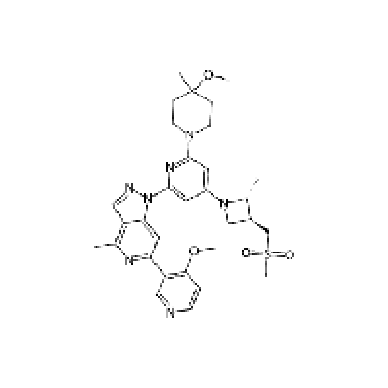 COc1ccncc1-c1cc2c(cnn2-c2cc(N3C[C@H](CS(C)(=O)=O)[C@H]3C)cc(N3CCC(C)(OC)CC3)n2)c(C)n1